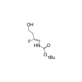 CC(C)(C)OC(=O)NC=C(F)CCO